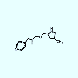 CC1CN[C@H](COCNCc2ccncc2)C1